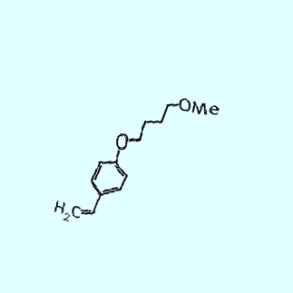 C=Cc1ccc(OCCCCOC)cc1